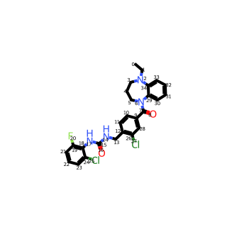 CCN1CCCN(C(=O)c2ccc(CNC(=O)Nc3c(F)cccc3Cl)c(Cl)c2)c2ccccc21